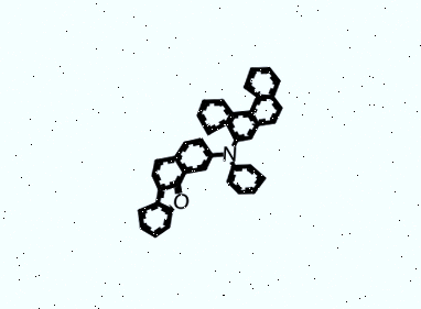 c1ccc(N(c2ccc3ccc4c5ccccc5oc4c3c2)c2cc3ccc4ccccc4c3c3ccccc23)cc1